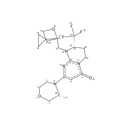 C[C@@H]1COCCN1c1cc(=O)n2c(n1)N(CC1(C3CC3)CCO1)[C@H](C(F)(F)F)CC2